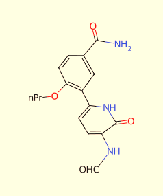 CCCOc1ccc(C(N)=O)cc1-c1ccc(NC=O)c(=O)[nH]1